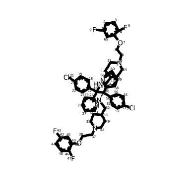 Fc1ccc(F)c(OCCN2CCC(CNC(c3ccc(Cl)cc3)(c3ccccn3)[C@](NCC3CCN(CCOc4cc(F)ccc4F)CC3)(c3ccc(Cl)cc3)c3ccccn3)CC2)c1